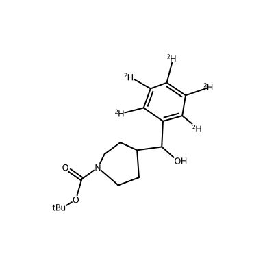 [2H]c1c([2H])c([2H])c(C(O)C2CCN(C(=O)OC(C)(C)C)CC2)c([2H])c1[2H]